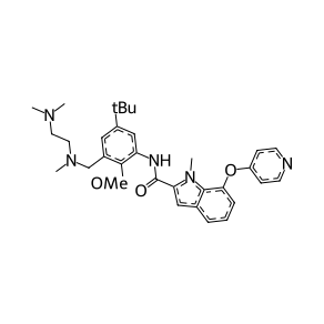 COc1c(CN(C)CCN(C)C)cc(C(C)(C)C)cc1NC(=O)c1cc2cccc(Oc3ccncc3)c2n1C